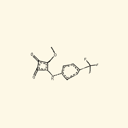 COc1c(Nc2ccc(C(F)(F)F)cc2)c(=O)c1=O